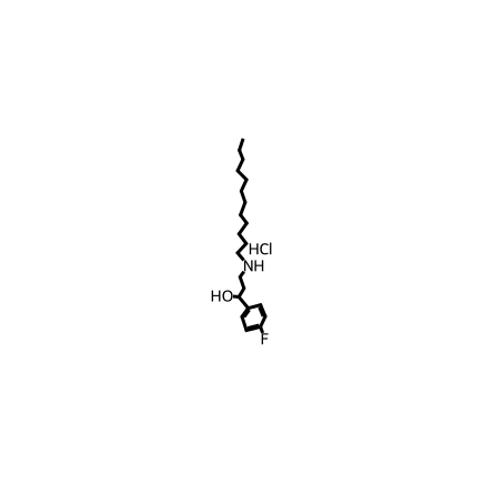 CCCCCCCCCCCCNCCC(O)c1ccc(F)cc1.Cl